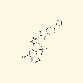 Cc1cc(-c2[nH]nc(C(=O)NC3CCN(C4CCC4)CC3)c2CC(F)(F)F)cn2ncnc12